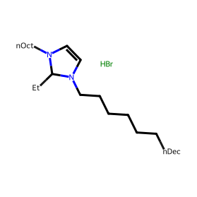 Br.CCCCCCCCCCCCCCCCN1C=CN(CCCCCCCC)C1CC